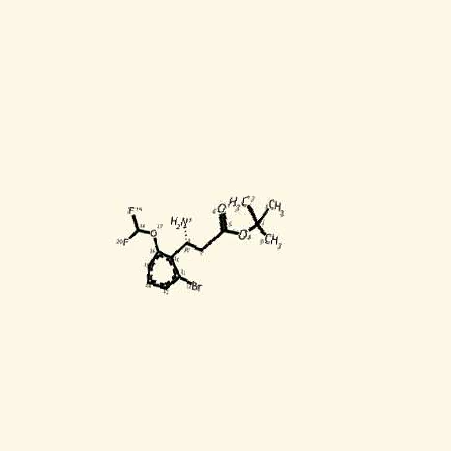 CC(C)(C)OC(=O)C[C@@H](N)c1c(Br)cccc1OC(F)F